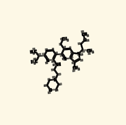 CCc1cc2c(nc1-c1ccc(C(C)C)nc1NCCN1CCOCC1)c(C)cn2[C@@H](C)COC